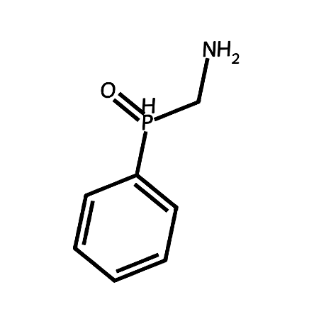 NC[PH](=O)c1ccccc1